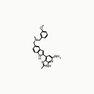 COc1cccc(CN(C)Cc2ccc3[nH]c(-c4cc(N)nc5[nH]c(C)nc45)cc3c2)c1